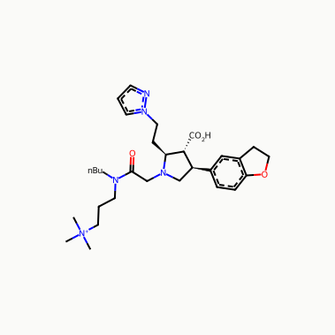 CCCCN(CCC[N+](C)(C)C)C(=O)CN1C[C@H](c2ccc3c(c2)CCO3)[C@@H](C(=O)O)[C@@H]1CCn1cccn1